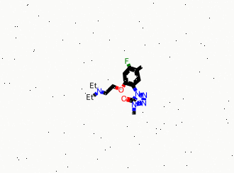 CCN(CC)CCOc1cc(F)c(C)cc1-n1nnn(C)c1=O